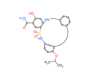 CC(C)Oc1ccc2cc1CCCCc1cccc(c1)CNc1cc(O)c(C(N)=O)cc1S(=O)(=O)N2